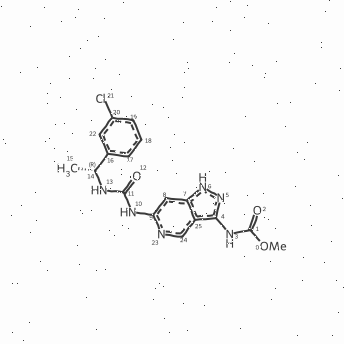 COC(=O)Nc1n[nH]c2cc(NC(=O)N[C@H](C)c3cccc(Cl)c3)ncc12